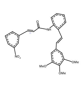 COc1cc(C=Cc2ccccc2NC(=O)/C=C/c2cccc([N+](=O)[O-])c2)cc(OC)c1OC